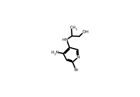 CC(CO)Nc1cnc(Br)cc1N